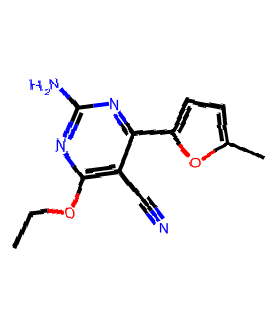 CCOc1nc(N)nc(-c2ccc(C)o2)c1C#N